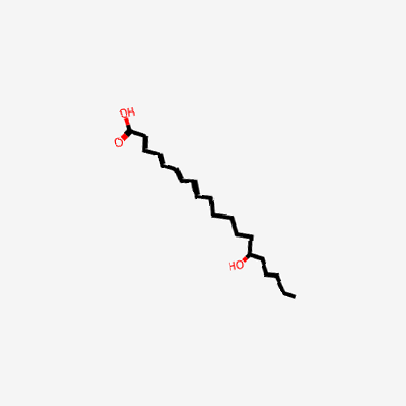 CCCCCC(O)CCCCCC=CC=CC=CC=CC(=O)O